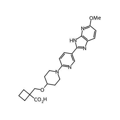 COc1ccc2nc(-c3ccc(N4CCC(OCC5(C(=O)O)CCC5)CC4)nc3)[nH]c2n1